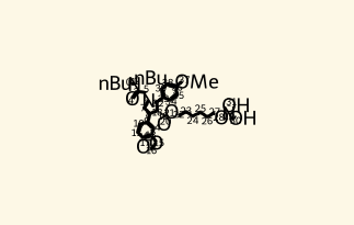 CCCCN(CCCC)C(=O)CN1CC(c2ccc3c(c2)OCO3)[C@@H](C(=O)OCCCCCCON(O)O)C1c1ccc(OC)cc1